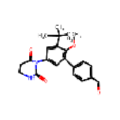 COc1c(-c2ccc(C=O)cc2)cc(N2C(=O)CCNC2=O)cc1C(C)(C)C